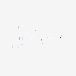 COc1ccnc(-c2ccc(C)c(NC(N)=S)c2)c1